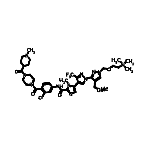 COCc1cn(COCC[Si](C)(C)C)nc1-n1cc(-c2cnc(C(=O)Nc3ccc(C(=O)N4CCN(C(=O)C5CCN(C)CC5)CC4)c(Cl)c3)n2C)c(C(F)(F)F)n1